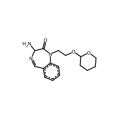 NC1N=Cc2ccccc2N(CCOC2CCCCO2)C1=O